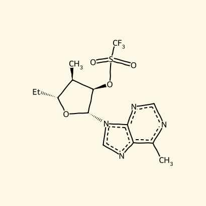 CC[C@H]1O[C@@H](n2cnc3c(C)ncnc32)[C@H](OS(=O)(=O)C(F)(F)F)[C@@H]1C